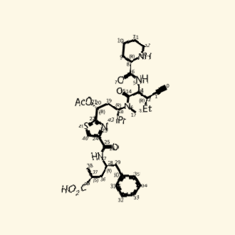 C#C[C@@H](CC)[C@H](NC(=O)[C@H]1CCCCN1)C(=O)N(C)[C@H](C[C@@H](OC(C)=O)c1nc(C(=O)N[C@@H](Cc2ccccc2)C[C@H](C)C(=O)O)cs1)C(C)C